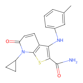 Cc1cccc(Nc2c(C(N)=O)sc3c2ccc(=O)n3C2CC2)c1